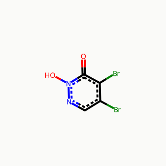 O=c1c(Br)c(Br)cnn1O